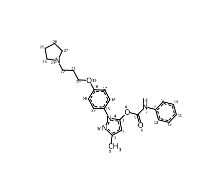 Cc1cc(OC(=O)Nc2ccccc2)n(-c2ccc(OCCCN3CCCC3)cc2)n1